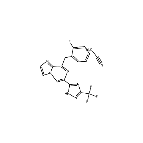 CC#N.Fc1ccccc1Cc1nc(-c2nc(C(F)(F)F)n[nH]2)cn2ccnc12